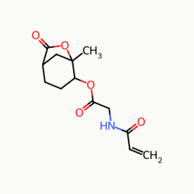 C=CC(=O)NCC(=O)OC1CCC2CC1(C)OC2=O